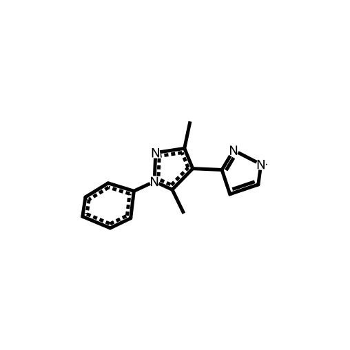 Cc1nn(-c2ccccc2)c(C)c1C1=N[N]C=C1